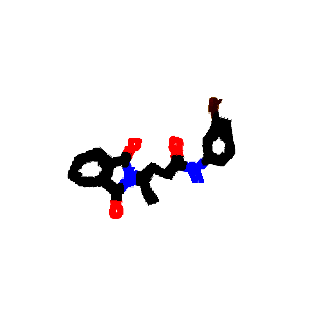 CC(CCC(=O)Nc1cccc(Br)c1)N1C(=O)c2ccccc2C1=O